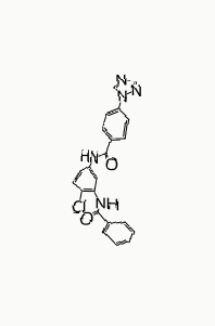 O=C(Nc1ccc(Cl)c(NC(=O)c2ccccc2)c1)c1ccc(-n2cncn2)cc1